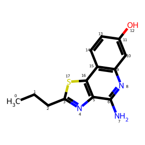 CCCc1nc2c(N)nc3cc(O)ccc3c2s1